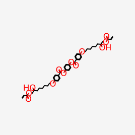 C=CC(=O)OCC(O)CCCCCCOc1ccc(C(=O)Oc2ccc(OC(=O)c3ccc(OCCCCCCC(O)COC(=O)C=C)cc3)cc2)cc1